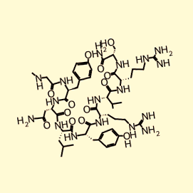 CNCC(=O)N[C@@H](Cc1ccc(O)cc1)C(=O)N[C@@H](CC(N)=O)C(=O)N[C@@H](CC(C)C)C(=O)N[C@@H](Cc1ccc(O)cc1)C(=O)N[C@@H](CCCNC(=N)N)C(=O)N[C@H](C(=O)N[C@@H](CCCNC(=N)N)C(=O)N[C@@H](CO)C(N)=O)C(C)C